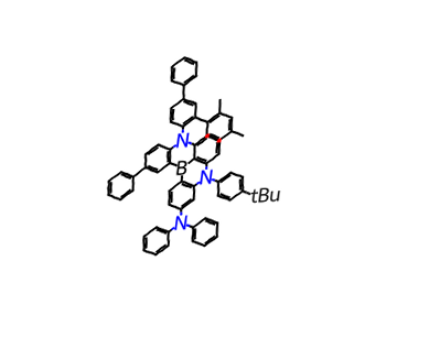 Cc1ccc(-c2cc(-c3ccccc3)ccc2N2c3ccc(-c4ccccc4)cc3B3c4ccc(N(c5ccccc5)c5ccccc5)cc4N(c4ccc(C(C)(C)C)cc4)c4cccc2c43)c(C)c1